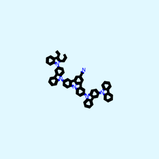 C=Cc1c(/C=C\C)n(-c2ccc3c(c2)c2ccccc2n3-c2ccc3c(c2)c2cc(C#N)cc4c5cc(-n6c7ccccc7c7cc(-n8c9ccccc9c9ccccc98)ccc76)ccc5n3c24)c2ccccc12